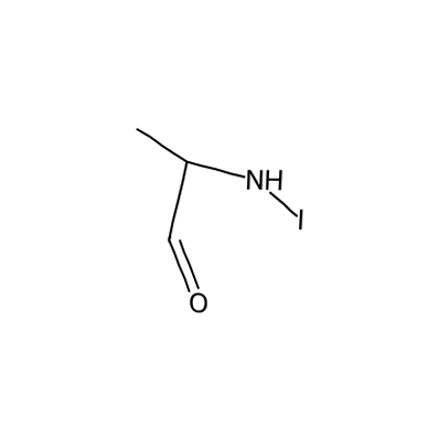 CC(C=O)NI